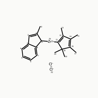 CC1=Cc2ccccc2[CH]1[Zr+2][C]1=C(C)C(C)=C(C)C1(C)C.[Cl-].[Cl-]